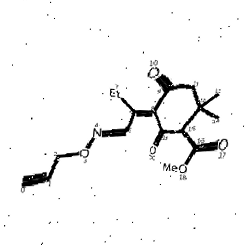 C=CCON=CC(CC)=C1C(=O)CC(C)(C)C(C(=O)OC)C1=O